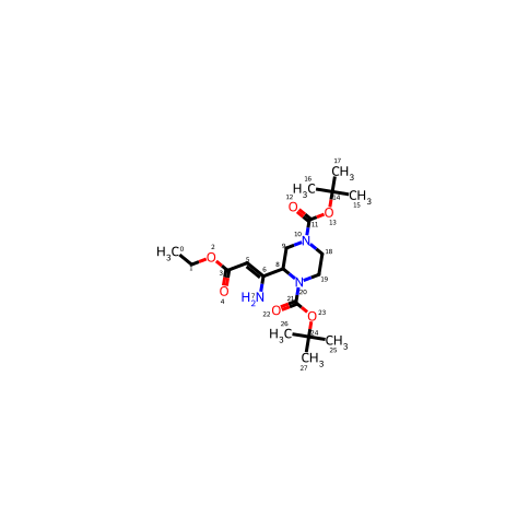 CCOC(=O)C=C(N)C1CN(C(=O)OC(C)(C)C)CCN1C(=O)OC(C)(C)C